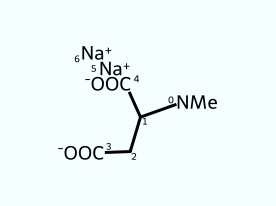 CNC(CC(=O)[O-])C(=O)[O-].[Na+].[Na+]